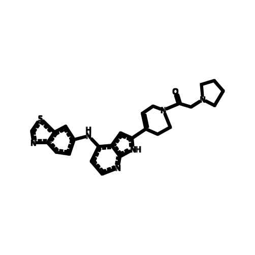 O=C(CN1CCCC1)N1CC=C(c2cc3c(Nc4ccc5ncsc5c4)ccnc3[nH]2)CC1